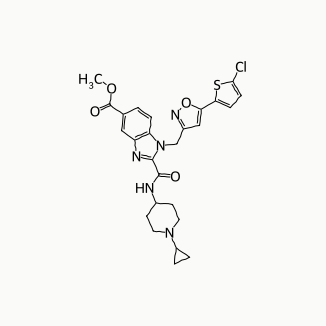 COC(=O)c1ccc2c(c1)nc(C(=O)NC1CCN(C3CC3)CC1)n2Cc1cc(-c2ccc(Cl)s2)on1